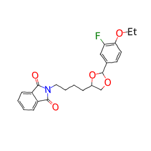 CCOc1ccc(C2OCC(CCCCN3C(=O)c4ccccc4C3=O)O2)cc1F